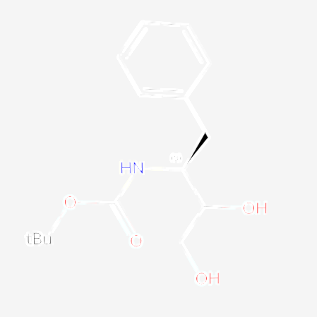 CC(C)(C)OC(=O)N[C@@H](Cc1ccccc1)C(O)CO